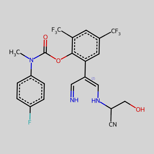 CN(C(=O)Oc1c(/C(C=N)=C/NC(C#N)CO)cc(C(F)(F)F)cc1C(F)(F)F)c1ccc(F)cc1